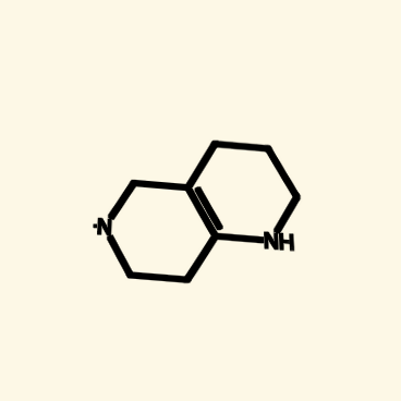 C1CNC2=C(C1)C[N]CC2